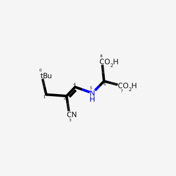 CC(C)(C)C/C(C#N)=C/NC(C(=O)O)C(=O)O